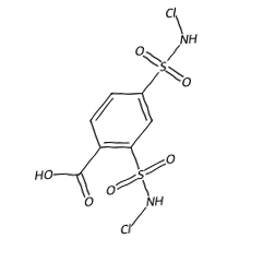 O=C(O)c1ccc(S(=O)(=O)NCl)cc1S(=O)(=O)NCl